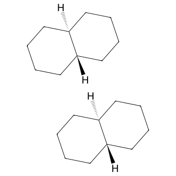 C1CC[C@H]2CCCC[C@@H]2C1.C1CC[C@H]2CCCC[C@@H]2C1